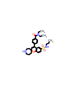 CCCNS(=O)(=O)c1ccc2c(c1)C(c1ccc(C(=O)N(CC)CC)cc1)=CC1(CCCNCC1)O2